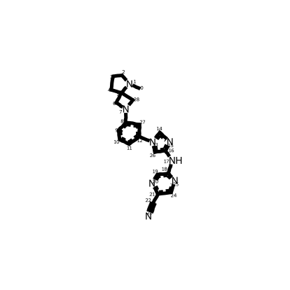 CN1CCCC12CN(c1cccc(-n3cnc(Nc4cnc(C#N)cn4)c3)c1)C2